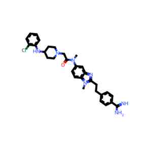 CN(C(=O)CN1CCC(Nc2ccccc2Cl)CC1)c1ccc2c(c1)nc(CCc1ccc(C(=N)N)cc1)n2C